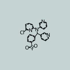 CS(=O)(=O)c1cccc(C(c2cccnc2)N(c2cccnc2)c2cccc(Cl)n2)c1